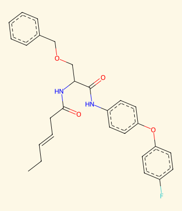 CCC=CCC(=O)NC(COCc1ccccc1)C(=O)Nc1ccc(Oc2ccc(F)cc2)cc1